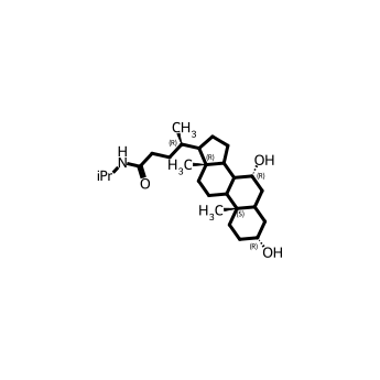 CC(C)NC(=O)CC[C@@H](C)C1CCC2C3C(CC[C@@]21C)[C@@]1(C)CC[C@@H](O)CC1C[C@H]3O